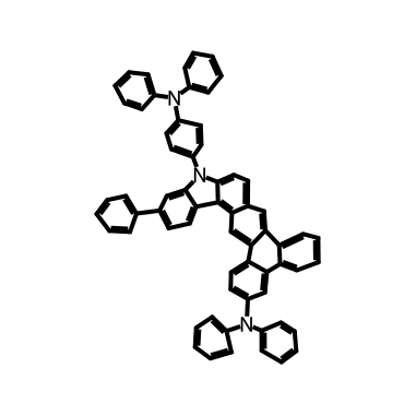 c1ccc(-c2ccc3c4c5cc6c7ccc(N(c8ccccc8)c8ccccc8)cc7c7ccccc7c6cc5ccc4n(-c4ccc(N(c5ccccc5)c5ccccc5)cc4)c3c2)cc1